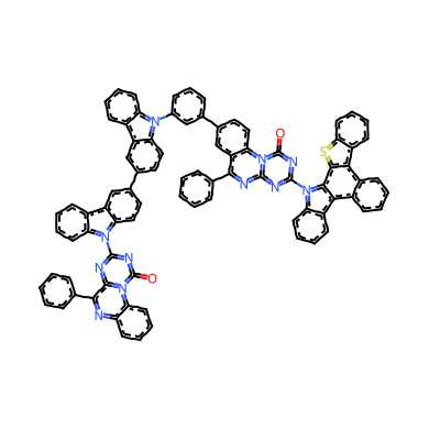 O=c1nc(-n2c3ccccc3c3c4ccccc4c4c5ccccc5sc4c32)nc2nc(-c3ccccc3)c3cc(-c4cccc(-n5c6ccccc6c6cc(-c7ccc8c(c7)c7ccccc7n8-c7nc(=O)n8c(n7)c(-c7ccccc7)nc7ccccc78)ccc65)c4)ccc3n12